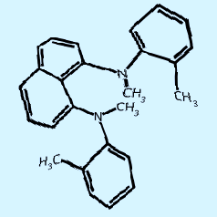 Cc1ccccc1N(C)c1cccc2cccc(N(C)c3ccccc3C)c12